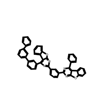 c1ccc(-c2cccc(-c3cccc(-c4nc(-c5cccc(-c6nc(-c7ccccc7)c7c(n6)oc6ccccc67)c5)nc5oc6ccccc6c45)c3)c2)cc1